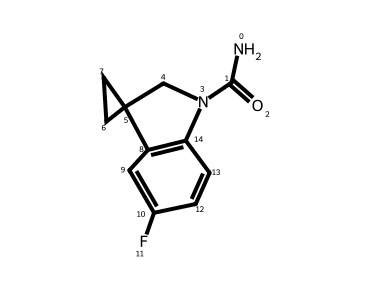 NC(=O)N1CC2(CC2)c2cc(F)ccc21